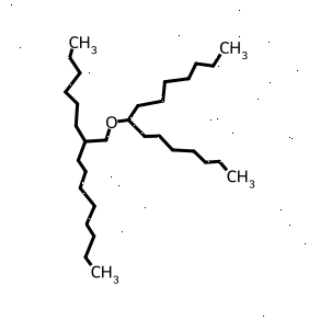 CCCCCCCCC(CCCCCC)COC(CCCCCCC)CCCCCCC